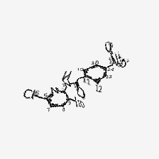 O=C(Nc1nc(Cl)ccc1I)c1ccc([N+](=O)[O-])cc1